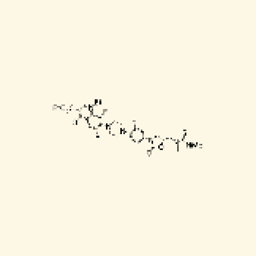 CCOC(=O)c1cn(CC)c2c(F)c(N3CCN(c4ccc(N5CC(CNC(=S)NC)OC5=O)cc4F)CC3)c(F)cc2c1=O